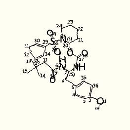 COc1ccc(C[C@@H](NC(=O)CC(C)(C)C)NC(=O)O[C@H]2CCCCN2S(=O)(=O)c2ccccc2)cc1